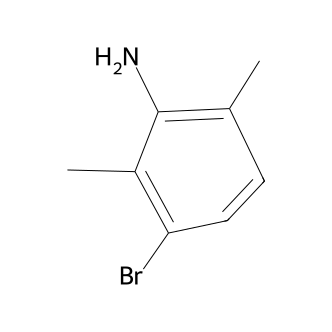 Cc1ccc(Br)c(C)c1N